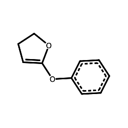 C1=C(Oc2ccccc2)OCC1